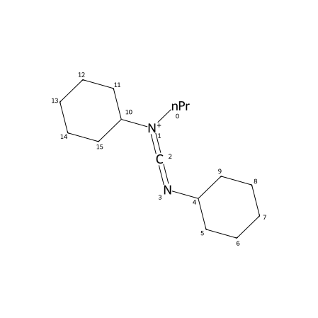 CCC[N+](=C=NC1CCCCC1)C1CCCCC1